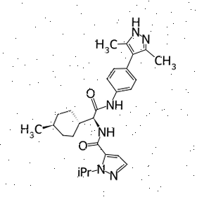 Cc1n[nH]c(C)c1-c1ccc(NC(=O)[C@@H](NC(=O)c2ccnn2C(C)C)[C@H]2CC[C@H](C)CC2)cc1